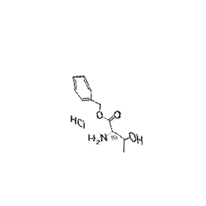 CC(O)[C@H](N)C(=O)OCc1ccccc1.Cl